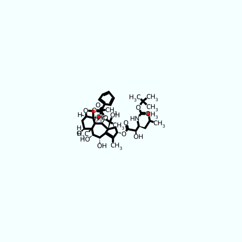 CC(=O)O[C@@]12CO[C@@H]1C[C@H](O)[C@]1(C)[C@@H]2[C@H](OC(=O)c2ccccc2)[C@]2(C(C)(C)O)C[C@H](OC(=O)[C@H](O)[C@H](CC(C)C)NC(=O)OC(C)(C)C)C(C)=C2[C@H](O)[C@@H]1O